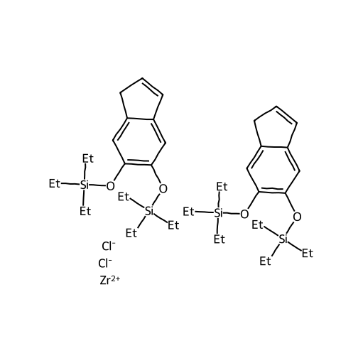 CC[Si](CC)(CC)Oc1cc2c(cc1O[Si](CC)(CC)CC)CC=C2.CC[Si](CC)(CC)Oc1cc2c(cc1O[Si](CC)(CC)CC)CC=C2.[Cl-].[Cl-].[Zr+2]